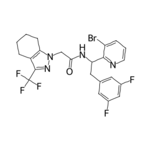 O=C(Cn1nc(C(F)(F)F)c2c1CCCC2)NC(Cc1cc(F)cc(F)c1)c1ncccc1Br